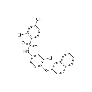 O=S(=O)(Nc1ccc(Sc2ccc3ccccc3c2)c(Cl)c1)c1ccc(C(F)(F)F)cc1Cl